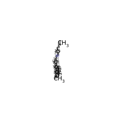 CCCCCC1CCC(/C=C/CCC2CCC(c3ccc(-c4ccc(OCC)c(F)c4F)c(F)c3)CC2)CC1